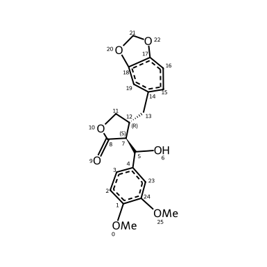 COc1ccc(C(O)[C@H]2C(=O)OC[C@@H]2Cc2ccc3c(c2)OCO3)cc1OC